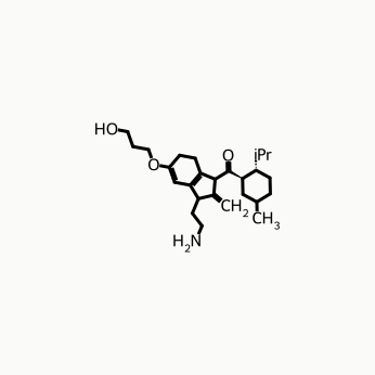 C=C1C(CCN)C2=C(CCC(OCCCO)=C2)C1C(=O)[C@@H]1CC(C)CC[C@H]1C(C)C